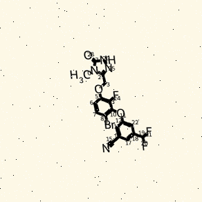 Cn1c(COc2ccc(Br)c(Oc3cc(C#N)cc(C(F)F)c3)c2F)n[nH]c1=O